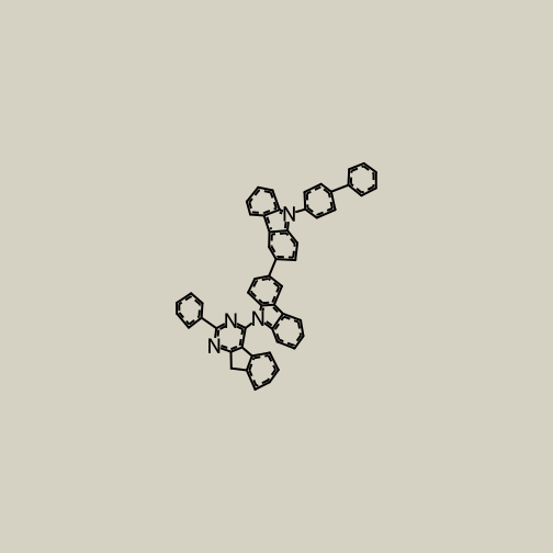 c1ccc(-c2ccc(-n3c4ccccc4c4cc(-c5ccc6c(c5)c5ccccc5n6-c5nc(-c6ccccc6)nc6c5-c5ccccc5C6)ccc43)cc2)cc1